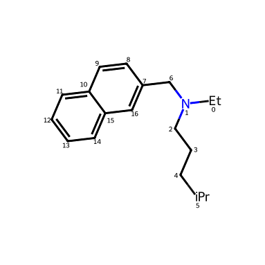 CCN(CCCC(C)C)Cc1ccc2ccccc2c1